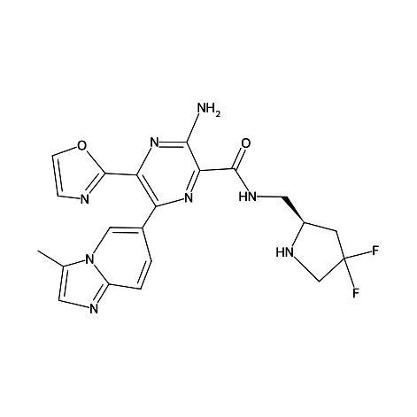 Cc1cnc2ccc(-c3nc(C(=O)NC[C@H]4CC(F)(F)CN4)c(N)nc3-c3ncco3)cn12